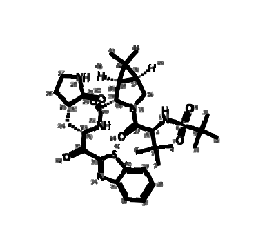 CC(C)(C)[C@H](NS(=O)(=O)C(C)(C)C)C(=O)N1C[C@H]2[C@@H]([C@H]1C(=O)N[C@@H](C[C@@H]1CCNC1=O)C(=O)c1nc3ccccc3s1)C2(C)C